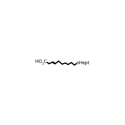 CCCCCCCCCCCCCC=CCC(=O)O